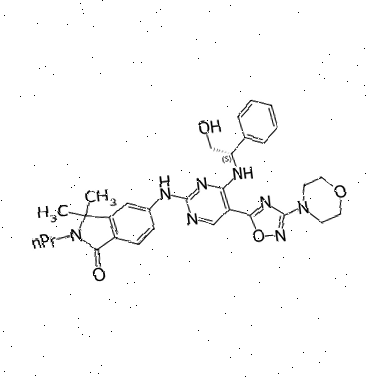 CCCN1C(=O)c2ccc(Nc3ncc(-c4nc(N5CCOCC5)no4)c(N[C@H](CO)c4ccccc4)n3)cc2C1(C)C